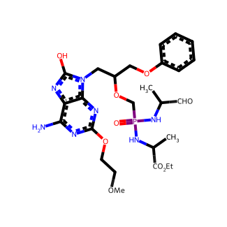 CCOC(=O)C(C)NP(=O)(COC(COc1ccccc1)Cn1c(O)nc2c(N)nc(OCCOC)nc21)NC(C)C=O